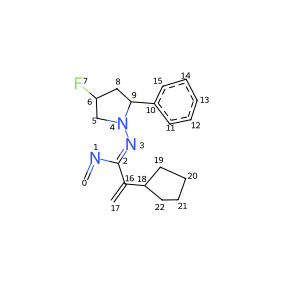 C=N/C(=N\N1CC(F)CC1c1ccccc1)C(=C)C1CCCC1